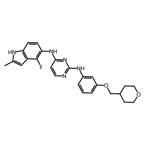 Cc1cc2c(F)c(Nc3ccnc(Nc4cccc(OCC5CCOCC5)c4)n3)ccc2[nH]1